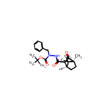 CC(C)(C)OC(=O)N(Cc1ccccc1)NC(=O)C1C(=O)[C@@]2(C)CC[C@@H]1C2(C)C